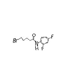 O=C(CCCCBr)Nc1ccc(F)cc1F